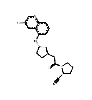 N#C[C@@H]1CCCN1C(=O)CN1CC[C@H](Nc2cccc3ncc(F)cc23)C1